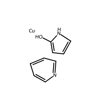 Oc1ccc[nH]1.[Cu].c1ccncc1